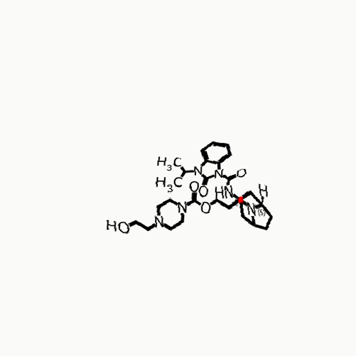 CC(C)n1c(=O)n(C(=O)N[C@@H]2CC3CC[C@@H](C2)N3CCCOC(=O)N2CCN(CCO)CC2)c2ccccc21